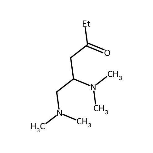 CCC(=O)CC(CN(C)C)N(C)C